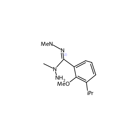 CN/N=C(/c1cccc(C(C)C)c1OC)N(C)N